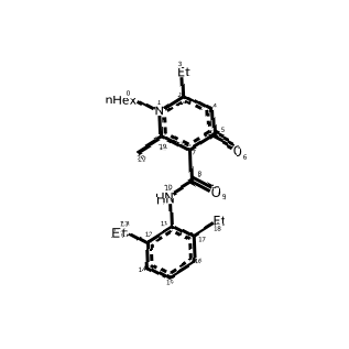 CCCCCCn1c(CC)cc(=O)c(C(=O)Nc2c(CC)cccc2CC)c1C